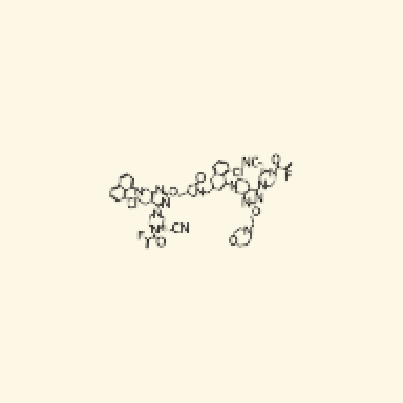 C=C(F)C(=O)N1CCN(c2nc(OCCN3CCCOCC3)nc3c2CCN(c2cc(CN4CC(COc5nc6c(c(N7CCN(C(=O)C(=C)F)[C@@H](CC#N)C7)n5)CCN(c5cccc7cccc(Cl)c57)C6)CC4=O)cc4cccc(Cl)c24)C3)C[C@@H]1CC#N